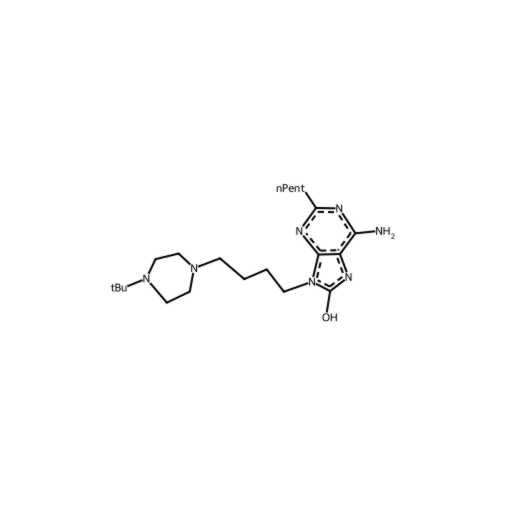 CCCCCc1nc(N)c2nc(O)n(CCCCN3CCN(C(C)(C)C)CC3)c2n1